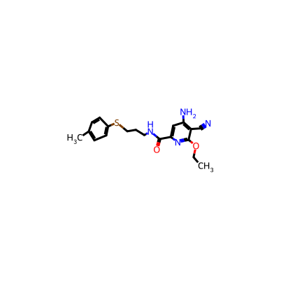 CCOc1nc(C(=O)NCCCSc2ccc(C)cc2)cc(N)c1C#N